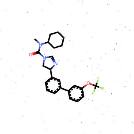 CN(C(=O)N1C=NC(c2cccc(-c3cccc(OC(F)(F)F)c3)c2)C1)C1CCCCC1